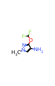 Cn1cc(N)c(OC(F)F)n1